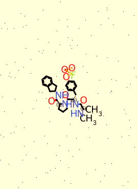 CN[C@@H](C)C(=O)N[C@@H](Cc1ccc(OS(=O)(=O)F)cc1)C(=O)N1CCC[C@H]1C(=O)NC1Cc2ccccc2C1